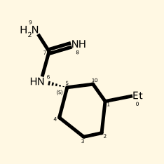 CCC1CCC[C@H](NC(=N)N)C1